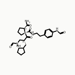 NC(=O)[C@@H]1CCC[N+]1(C(=O)NCCc1ccc(NC=O)cc1)C(=O)[C@H](CC1CCCC1)CN(O)C=O